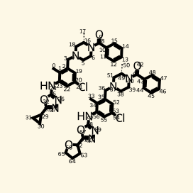 Cc1c(CN2CCN(C(=O)c3ccccc3)[C@@H](C)C2)cc(Cl)cc1Nc1nnc(C2CC2)o1.Cc1c(CN2CCN(C(=O)c3ccccc3)[C@@H](C)C2)cc(Cl)cc1Nc1nnc(C2CCCO2)o1